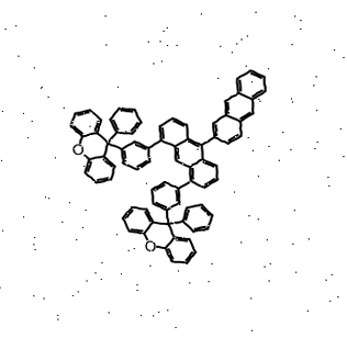 c1ccc(C2(c3cccc(-c4cccc5c(-c6ccc7cc8ccccc8cc7c6)c6cccc(-c7cccc(C8(c9ccccc9)c9ccccc9Oc9ccccc98)c7)c6cc45)c3)c3ccccc3Oc3ccccc32)cc1